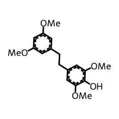 COc1cc(CCc2cc(OC)c(O)c(OC)c2)cc(OC)c1